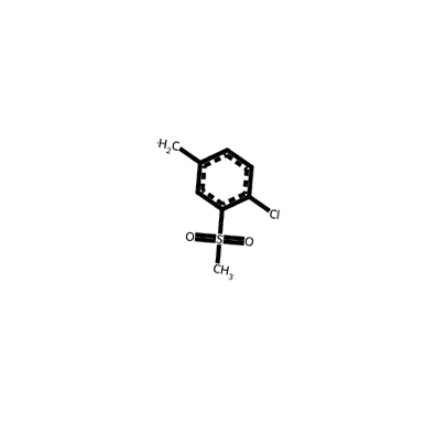 [CH2]c1ccc(Cl)c(S(C)(=O)=O)c1